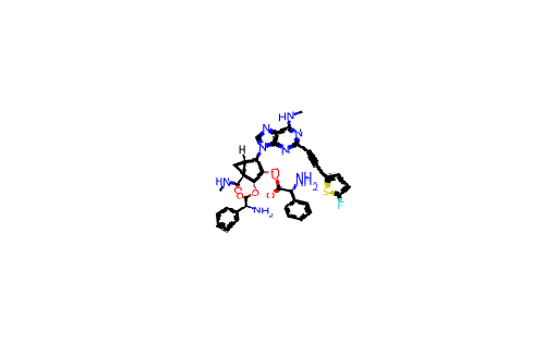 CNC(=O)[C@@]12C[C@@H]1C(n1cnc3c(NC)nc(C#Cc4ccc(F)s4)nc31)[C@H](OC(=O)[C@@H](N)c1ccccc1)[C@@H]2OC(=O)[C@@H](N)c1ccccc1